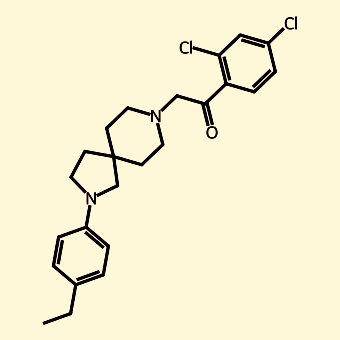 CCc1ccc(N2CCC3(CCN(CC(=O)c4ccc(Cl)cc4Cl)CC3)C2)cc1